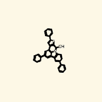 OC1c2sc(-c3ccccc3)cc2-c2cc(-c3ccccc3)cc3c4cc(-c5ccccc5)ccc4n1c23